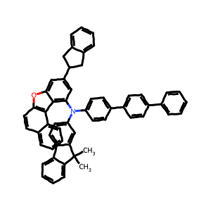 CC1(C)c2ccccc2-c2ccc(N(c3ccc(-c4ccc(-c5ccccc5)cc4)cc3)c3cc(C4Cc5ccccc5C4)cc4oc5ccc6ccccc6c5c34)cc21